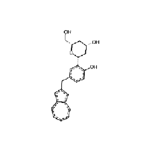 OC[C@@H]1C[C@H](O)C[C@H](c2cc(Cc3cc4cccccc-4c3)ccc2O)O1